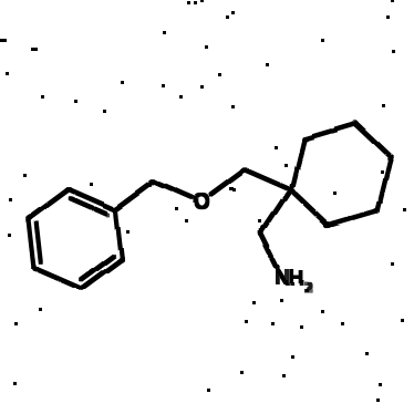 NCC1(COCc2ccccc2)CCCCC1